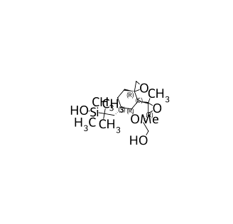 CO[C@@H]1[C@H](CC(C)(C)[Si](C)(C)O)CC[C@]2(CO2)[C@H]1C1(C)O[C@@H]1CCO